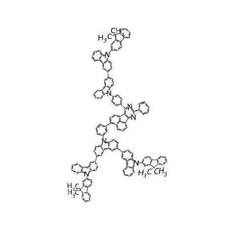 CC1(C)c2ccccc2-c2ccc(-n3c4ccccc4c4cc(-c5ccc6c(c5)c5ccccc5n6-c5ccc(-c6nc(-c7ccccc7)nc7c6-c6ccc(-c8cccc(-n9c%10ccc(-c%11ccc%12c(c%11)c%11ccccc%11n%12-c%11ccc%12c(c%11)C(C)(C)c%11ccccc%11-%12)cc%10c%10cc(-c%11ccc%12c(c%11)c%11ccccc%11n%12-c%11ccc%12c(c%11)C(C)(C)c%11ccccc%11-%12)ccc%109)c8)c8cccc-7c68)cc5)ccc43)cc21